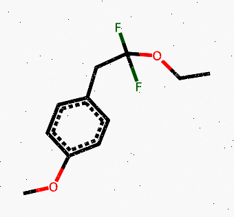 CCOC(F)(F)Cc1ccc(OC)cc1